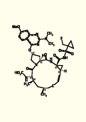 COc1ccc2c(O[C@@H]3C[C@H]4C(=O)N[C@]5(C(=O)NS(=O)(=O)C6(CF)CC6)C[C@H]5C=CCC[C@@H](C)C[C@@H](C)[C@H](NC(=O)O)C(=O)N4C3)nc(N(C)C)nc2c1